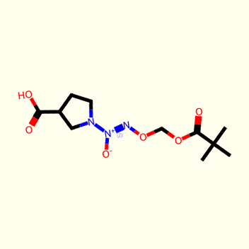 CC(C)(C)C(=O)OCO/N=[N+](\[O-])N1CCC(C(=O)O)C1